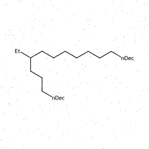 [CH2]CC(CCCCCCCCCCCCC)CCCCCCCCCCCCCCCCC